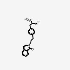 CCOC(Cc1ccc(CCCn2ccc3ccccc3c2=O)cc1)C(=O)O